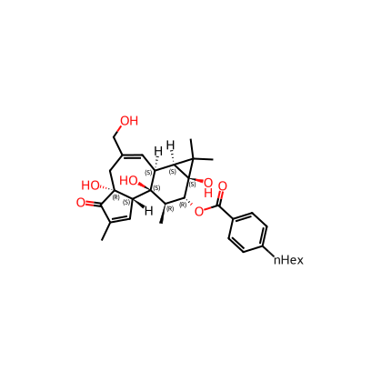 CCCCCCc1ccc(C(=O)O[C@@H]2[C@@H](C)[C@@]3(O)[C@@H](C=C(CO)C[C@]4(O)C(=O)C(C)=C[C@@H]34)[C@H]3C(C)(C)[C@]23O)cc1